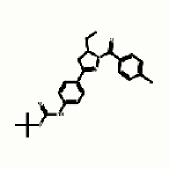 CCC1CC(c2ccc(NC(=O)OC(C)(C)C)cc2)=NN1C(=O)c1ccc(Br)cc1